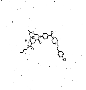 CCCCOC(=O)C(N)C[C@@H](S)C(=O)N(CCOC(C)C)c1ccc(C(=O)N2CCN(CCc3ccc(Cl)cc3)CC2)cc1